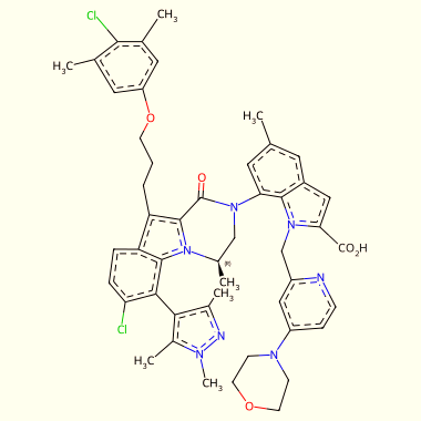 Cc1cc(N2C[C@@H](C)n3c(c(CCCOc4cc(C)c(Cl)c(C)c4)c4ccc(Cl)c(-c5c(C)nn(C)c5C)c43)C2=O)c2c(c1)cc(C(=O)O)n2Cc1cc(N2CCOCC2)ccn1